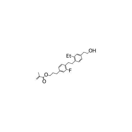 C=C(C)C(=O)OCCCc1ccc(CCc2ccc(CCO)cc2CC)c(F)c1